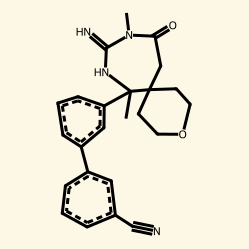 CN1C(=N)NC(C)(c2cccc(-c3cccc(C#N)c3)c2)C2(CCOCC2)CC1=O